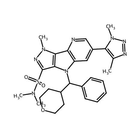 Cc1nnn(C)c1-c1cnc2c3c(c(S(=O)(=O)N(C)C)nn3C)n(C(c3ccccc3)C3CCOCC3)c2c1